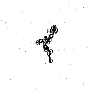 COCCCCOC(=O)c1cc2cc(NC(=O)[C@@H]3[C@H]([C@H]4CC[C@H](OC)CC4)CCN3C(=O)[C@H]3CC[C@H]([C@@H](CF)NC(=O)OC(C)(C)C)CC3)ccc2o1